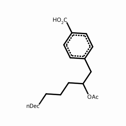 CCCCCCCCCCCCCC(Cc1ccc(C(=O)O)cc1)OC(C)=O